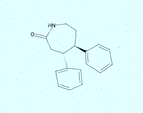 O=C1C[C@@H](c2ccccc2)[C@H](c2ccccc2)CCN1